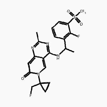 Cc1nc(NC(C)c2cccc(S(=O)(=O)C(F)(F)F)c2F)c2cn(C3(CF)CC3)c(=O)cc2n1